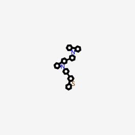 c1cc(-c2ccc3c4ccccc4n(-c4ccc(-c5ccc6sc7ccccc7c6c5)cc4)c3c2)cc(-n2c3ccccc3c3ccccc32)c1